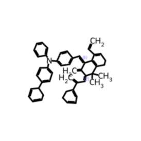 C=CC1=CCCC2=C1/C(=C/c1ccc(N(c3ccccc3)c3ccc(C4C=CC=CC4)cc3)cc1)C(=C)/C(=C\C(=C)C1=CC=CCC1)C2(C)C